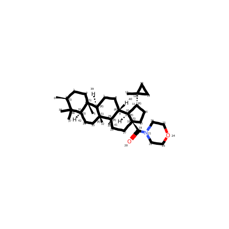 C[C@H]1CC[C@]2(C)[C@H]3CC[C@@H]4[C@H]5[C@H](C6(C)CC6)CC[C@]5(C(=O)N5CCOCC5)CC[C@@]4(C)[C@]3(C)CC[C@H]2C1(C)C